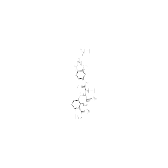 NCCN1Cc2ccc(CC(=O)N[C@H]3Cc4cccc(C(=O)O)c4OB3O)cc2C1